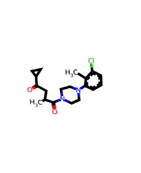 Cc1c(Cl)cccc1N1CCN(C(=O)C(C)CC(=O)C2CC2)CC1